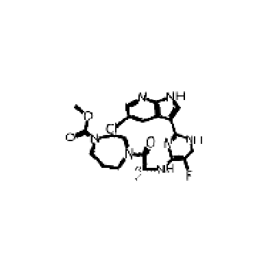 COC(=O)N1CCCN(C(=O)[C@@H](C)NC2=C(F)CNC(c3c[nH]c4ncc(Cl)cc34)=N2)CC1